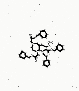 O=COCCC1CN(CC(=O)OCc2ccccc2)CCN(CC(=O)OCc2ccccc2)C1N(CCc1ccccc1)CC(=O)OCc1ccccc1